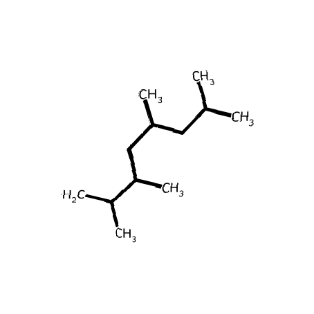 [CH2]C(C)C(C)CC(C)CC(C)C